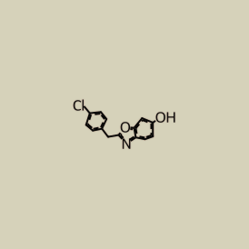 Oc1ccc2nc(Cc3ccc(Cl)cc3)oc2c1